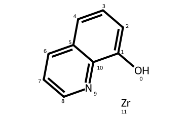 Oc1cccc2cccnc12.[Zr]